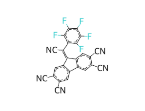 N#CC(=C1c2cc(C#N)c(C#N)cc2-c2cc(C#N)c(C#N)cc21)c1c(F)c(F)c(F)c(F)c1F